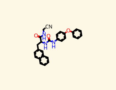 N#CCNC(=O)C(Cc1ccc2ccccc2c1)NC(=O)Nc1ccc(Oc2ccccc2)cc1